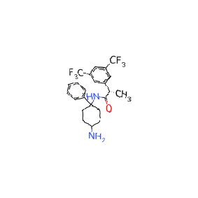 C[C@H](C(=O)NC1(c2ccccc2)CCC(N)CC1)c1cc(C(F)(F)F)cc(C(F)(F)F)c1